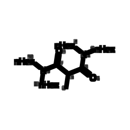 CCCCCCN(CCCCCC)C(=O)C(C)C(=O)N(CCCCCC)CCCCCC